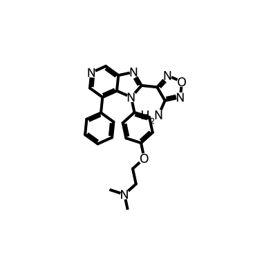 CN(C)CCOc1ccc(-n2c(-c3nonc3N)nc3cncc(-c4ccccc4)c32)cc1